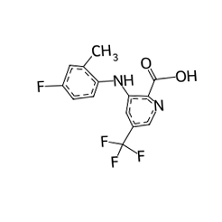 Cc1cc(F)ccc1Nc1cc(C(F)(F)F)cnc1C(=O)O